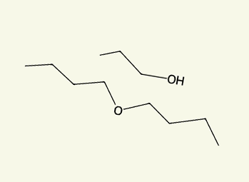 CCCCOCCCC.CCCO